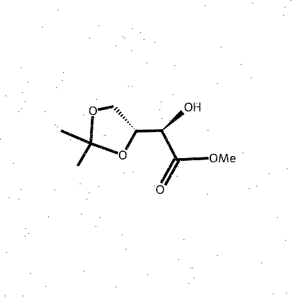 COC(=O)[C@H](O)[C@H]1COC(C)(C)O1